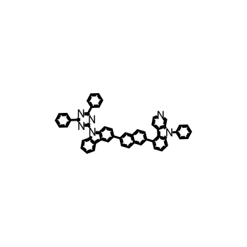 c1ccc(-c2nc(-c3ccccc3)nc(-n3c4ccccc4c4cc(-c5ccc6cc(-c7cccc8c7c7ccncc7n8-c7ccccc7)ccc6c5)ccc43)n2)cc1